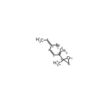 C=C(/C=C\C(Br)=C/C)C1(C)CO1